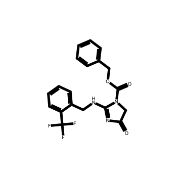 O=C1CN(C(=O)OCc2ccccc2)C(NCc2ccccc2C(F)(F)F)=N1